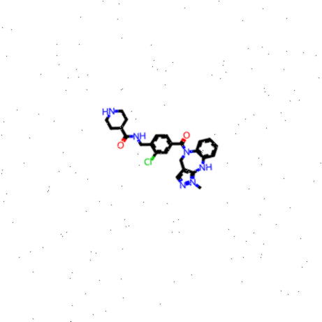 Cn1ncc2c1Nc1ccccc1N(C(=O)c1ccc(CNC(=O)C3CCNCC3)c(Cl)c1)C2